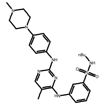 CCCCNS(=O)(=O)c1cccc(Nc2nc(Nc3ccc(N4CCN(C)CC4)cc3)ncc2C)c1